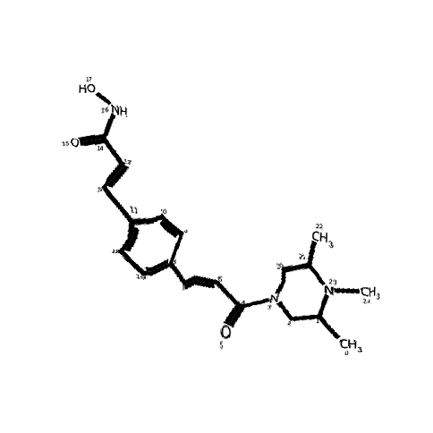 CC1CN(C(=O)C=Cc2ccc(C=CC(=O)NO)cc2)CC(C)N1C